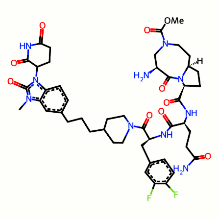 COC(=O)N1CC[C@H]2CC[C@@H](C(=O)N[C@@H](CCC(N)=O)C(=O)N[C@@H](Cc3ccc(F)c(F)c3)C(=O)N3CCC(CCCc4ccc5c(c4)n(C)c(=O)n5C4CCC(=O)NC4=O)CC3)N2C(=O)[C@@H](N)C1